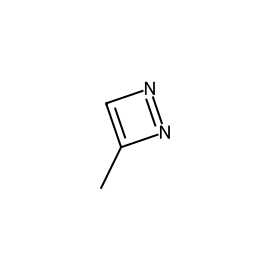 CC1=CN=N1